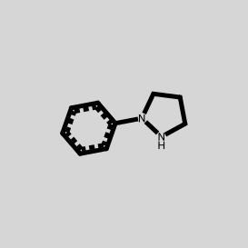 c1ccc(N2CCCN2)cc1